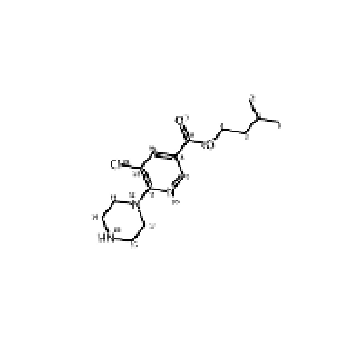 CC(C)CCOC(=O)c1cnc(N2CCNCC2)c(Cl)c1